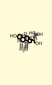 C[C@]12CC[C@@H](O)C[C@H]1CC[C@@H]1[C@@H]2C(=O)C[C@@]2(C)[C@H]1CC[C@]2(OOB(O)O)C(=O)CO.O.O.O.O